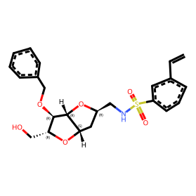 C=Cc1cccc(S(=O)(=O)NC[C@H]2C[C@@H]3O[C@H](CO)[C@@H](OCc4ccccc4)[C@@H]3O2)c1